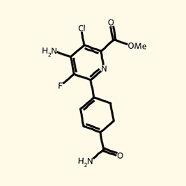 COC(=O)c1nc(C2=CC=C(C(N)=O)CC2)c(F)c(N)c1Cl